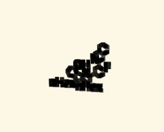 CCCCCCC1(CCCCCC)c2ccc(-c3ccc(F)c(-c4cc5ccccc5cn4)c3)nc2-c2c(O)cccc21